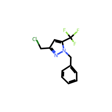 FC(F)(F)c1cc(CCl)nn1Cc1ccccc1